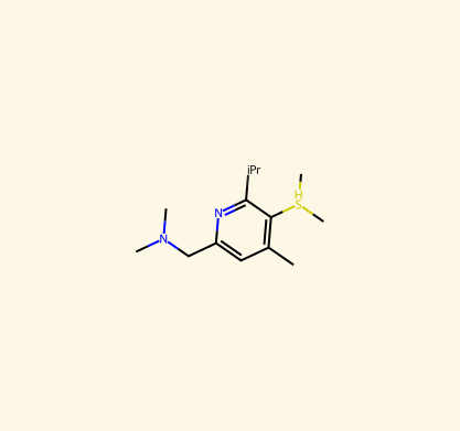 Cc1cc(CN(C)C)nc(C(C)C)c1[SH](C)C